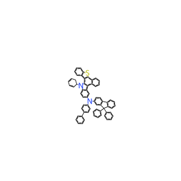 C1=CCC(n2c3ccc(N(c4ccc(-c5ccccc5)cc4)c4ccc5c(c4)C(c4ccccc4)(c4ccccc4)c4ccccc4-5)cc3c3c4ccccc4c4sc5ccccc5c4c32)C=C1